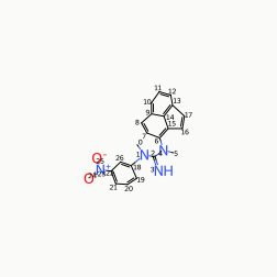 CN(C(=N)N(C)c1ccc2cccc3c2c1C=C3)c1cccc([N+](=O)[O-])c1